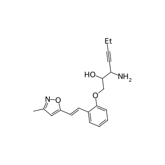 CCC#CC(N)C(O)COc1ccccc1C=Cc1cc(C)no1